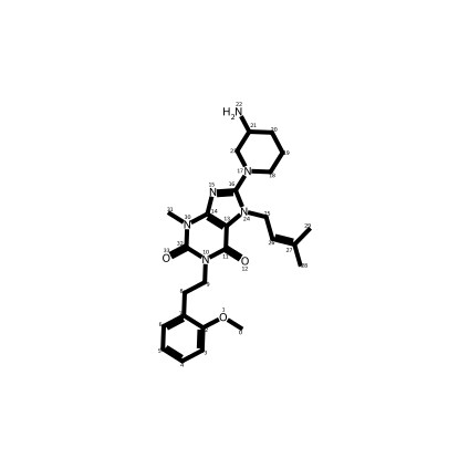 COc1ccccc1CCn1c(=O)c2c(nc(N3CCCC(N)C3)n2CC=C(C)C)n(C)c1=O